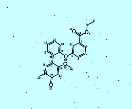 CCOC(=O)c1cccc(Oc2ccccc2-c2cn(C)c(=O)cc2OC)c1